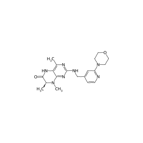 Cc1nc(NCc2ccnc(N3CCOCC3)c2)nc2c1NC(=O)[C@H](C)N2C